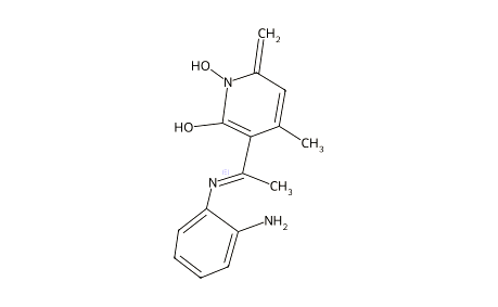 C=C1C=C(C)C(/C(C)=N/c2ccccc2N)=C(O)N1O